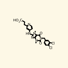 Cn1c(Nc2ccnc(CCC(=O)O)c2)nc2c1c(=O)n(Cc1ccc(Cl)c(Cl)c1)c(=O)n2C